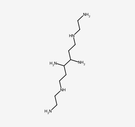 NCCNCCC(N)C(N)CCNCCN